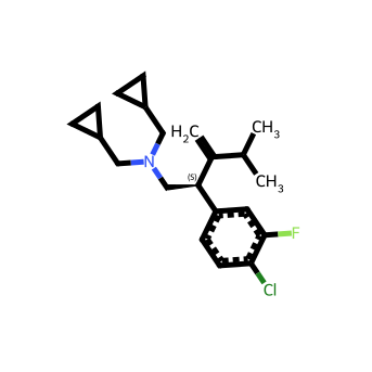 C=C(C(C)C)[C@H](CN(CC1CC1)CC1CC1)c1ccc(Cl)c(F)c1